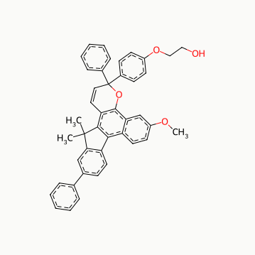 COc1ccc2c3c(c4c(c2c1)OC(c1ccccc1)(c1ccc(OCCO)cc1)C=C4)C(C)(C)c1cc(-c2ccccc2)ccc1-3